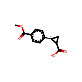 COC(=O)c1ccc([C@H]2CC2C(=O)O)cc1